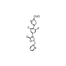 O=CN1CCN(c2c(F)cc(N3CC(CN4C=CC=C=N4)OC3=O)cc2F)C=N1